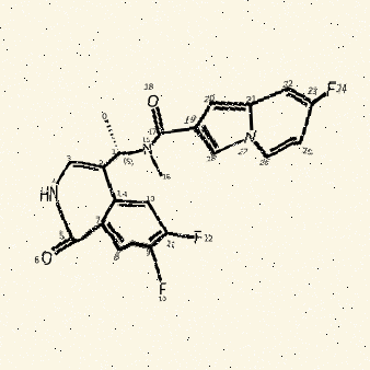 C[C@@H](c1c[nH]c(=O)c2cc(F)c(F)cc12)N(C)C(=O)c1cc2cc(F)ccn2c1